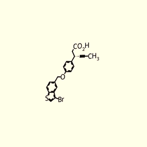 CC#C[C@@H](CC(=O)O)c1ccc(OCc2ccc3scc(Br)c3c2)cc1